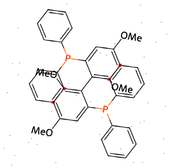 COc1cc(OC)c(-c2c(OC)cc(OC)cc2P(c2ccccc2)c2ccccc2)c(P(c2ccccc2)c2ccccc2)c1